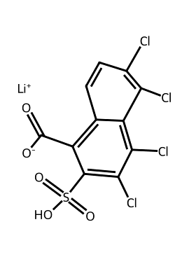 O=C([O-])c1c(S(=O)(=O)O)c(Cl)c(Cl)c2c(Cl)c(Cl)ccc12.[Li+]